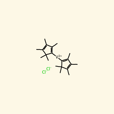 CC1=C(C)C(C)(C)[C]([V+2][C]2=C(C)C(C)=C(C)C2(C)C)=C1C.[Cl-].[Cl-]